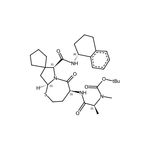 C[C@@H](C(=O)N[C@H]1CCS[C@H]2CC3(CCCC3)[C@@H](C(=O)N[C@@H]3CCCc4ccccc43)N2C1=O)N(C)C(=O)OC(C)(C)C